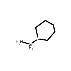 N[SiH2]N1CCCCC1